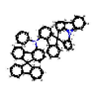 c1ccc(N(c2cccc3c2-c2ccccc2C32c3ccccc3-c3ccccc32)c2cccc3c2-c2ccccc2C32c3ccccc3-n3c4ccccc4c4cccc2c43)cc1